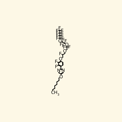 CCCCCCCCOc1cnc(-c2ccc(OCC(F)COCC(F)(F)OC(F)(F)C(F)(F)OC(F)(F)C(F)(F)C(F)(F)C(F)(F)F)c(F)c2F)nc1